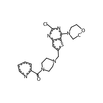 O=C(c1ccccn1)N1CCN(Cc2cc3nc(Cl)nc(N4CCOCC4)c3s2)CC1